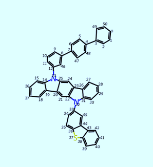 c1ccc(-c2ccc(-c3cccc(-n4c5ccccc5c5cc6c(cc54)c4ccccc4n6-c4ccc5sc6ccccc6c5c4)c3)cc2)cc1